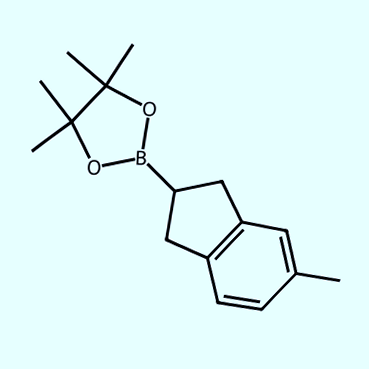 Cc1ccc2c(c1)CC(B1OC(C)(C)C(C)(C)O1)C2